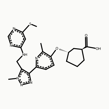 CSc1cc(NCc2c(-c3ccc(O[C@H]4CCC[C@H](C(=O)O)C4)c(C)n3)nnn2C)ncn1